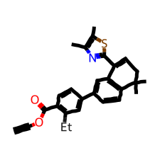 C#COC(=O)c1ccc(-c2ccc3c(c2)C(c2nc(C)c(C)s2)=CCC3(C)C)cc1CC